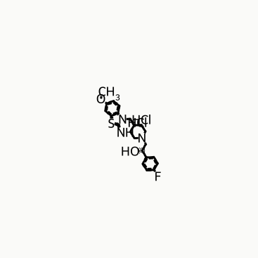 COc1ccc2c(c1)sc(=N)n2CC1CCN(C[C@@H](O)c2ccc(F)cc2)CC1.Cl.Cl